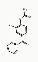 CC(=O)Nc1ccc(C(=O)c2ccccc2)cc1Br